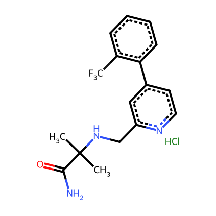 CC(C)(NCc1cc(-c2ccccc2C(F)(F)F)ccn1)C(N)=O.Cl